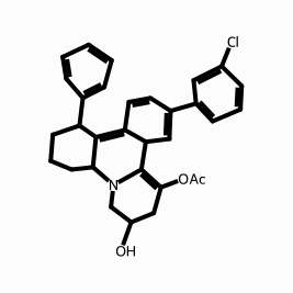 CC(=O)OC1=C2C3C=C(c4cccc(Cl)c4)C=CC3=C3C(c4ccccc4)CCCC3N2CC(O)C1